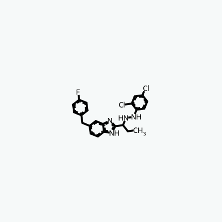 CCC(NNc1ccc(Cl)cc1Cl)c1nc2cc(Cc3ccc(F)cc3)ccc2[nH]1